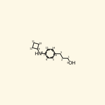 OCCCc1ccc(NC2CCC2)cc1